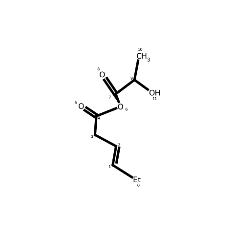 CC/C=C/CC(=O)OC(=O)C(C)O